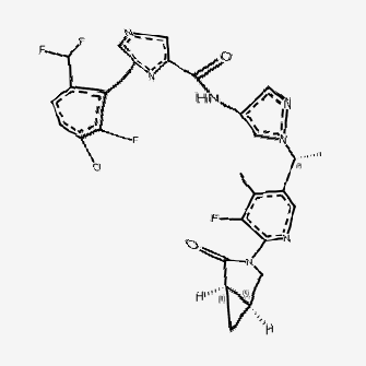 Cc1c([C@@H](C)n2cc(NC(=O)c3cncc(-c4c(C(F)F)ccc(Cl)c4F)n3)cn2)cnc(N2C[C@H]3C[C@H]3C2=O)c1F